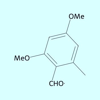 COc1cc(C)c([C]=O)c(OC)c1